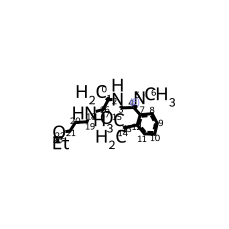 C=C(NC/C(=N/C)c1ccccc1C(=C)C)C(=O)NCCCOCC